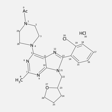 CC(=O)N1CCN(c2nc(C)nc3c2nc(-c2ccccc2Cl)n3CC2CCCO2)CC1.Cl